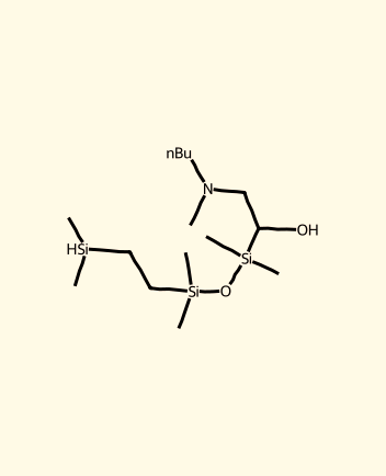 CCCCN(C)CC(O)[Si](C)(C)O[Si](C)(C)CC[SiH](C)C